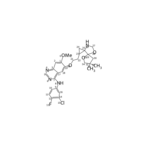 COc1cc2ncnc(Nc3ccc(F)c(Cl)c3)c2cc1OCCC1CC12NCOC21CC(C)(C)CO1